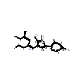 CCCC(/C=C(/C)CC)=C/c1cc(-c2ccc(F)cc2)[nH]c1C